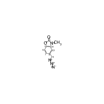 Cn1c(=O)oc2ccc(CN=[N+]=[N-])cc21